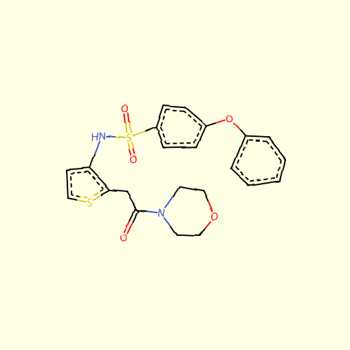 O=C(Cc1sccc1NS(=O)(=O)c1ccc(Oc2ccccc2)cc1)N1CCOCC1